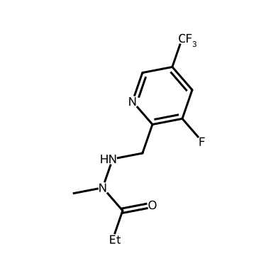 CCC(=O)N(C)NCc1ncc(C(F)(F)F)cc1F